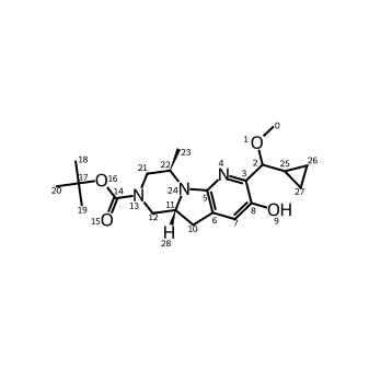 COC(c1nc2c(cc1O)C[C@@H]1CN(C(=O)OC(C)(C)C)C[C@@H](C)N21)C1CC1